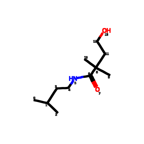 CC(C)CCNC(=O)C(C)(C)CCO